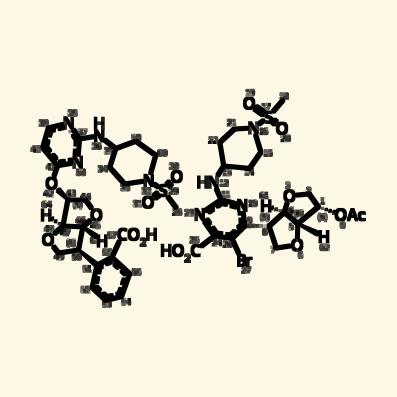 CC(=O)O[C@H]1CO[C@H]2[C@H]1OC[C@@H]2c1nc(NC2CCN(S(C)(=O)=O)CC2)nc(C(=O)O)c1Br.CS(=O)(=O)N1CCC(Nc2nccc(O[C@H]3CO[C@H]4[C@H]3OC[C@@H]4c3ccccc3C(=O)O)n2)CC1